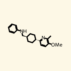 COc1ccc([C@H]2CC[C@H](CNc3ccccc3)CC2)nc1C